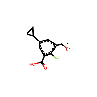 O=C(O)c1cc(C2CC2)cc(CBr)c1F